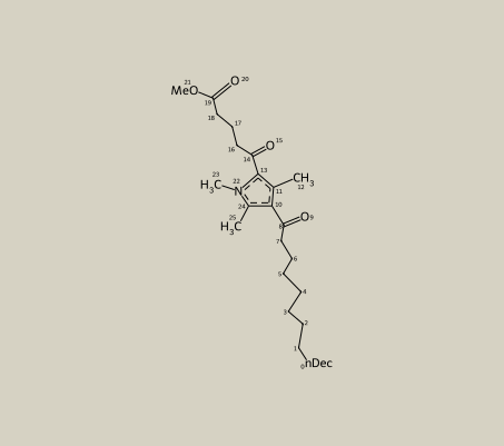 CCCCCCCCCCCCCCCCCC(=O)c1c(C)c(C(=O)CCCC(=O)OC)n(C)c1C